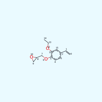 C=Cc1ccc(OCC2CO2)c(OCC)c1